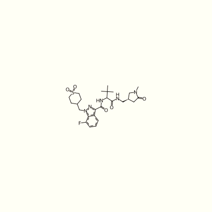 CN1C[C@H](CNC(=O)C(NC(=O)c2nn(CC3CCS(=O)(=O)CC3)c3c(F)cccc23)C(C)(C)C)CC1=O